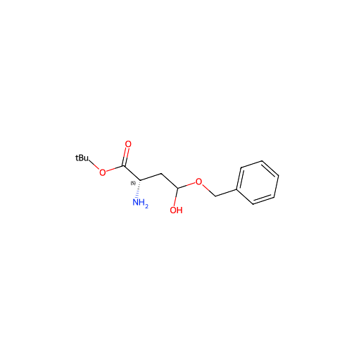 CC(C)(C)OC(=O)[C@@H](N)CC(O)OCc1ccccc1